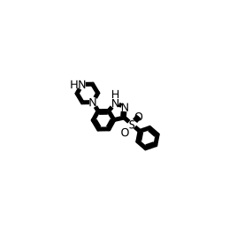 O=S(=O)(c1ccccc1)c1n[nH]c2c(N3CCNCC3)cccc12